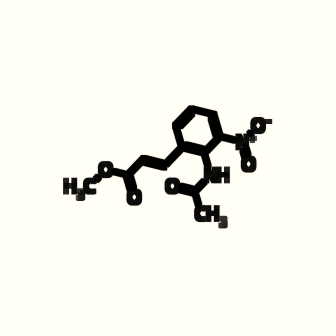 COC(=O)C=Cc1cccc([N+](=O)[O-])c1NC(C)=O